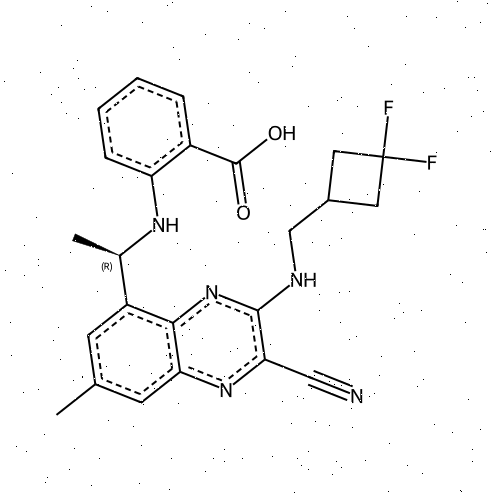 Cc1cc([C@@H](C)Nc2ccccc2C(=O)O)c2nc(NCC3CC(F)(F)C3)c(C#N)nc2c1